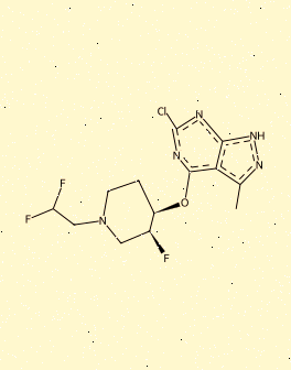 Cc1n[nH]c2nc(Cl)nc(O[C@@H]3CCN(CC(F)F)C[C@@H]3F)c12